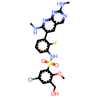 CNc1ncc2cc(-c3cccc(NS(=O)(=O)c4cc(Cl)cc(CO)c4OC)c3F)c(NC)nc2n1